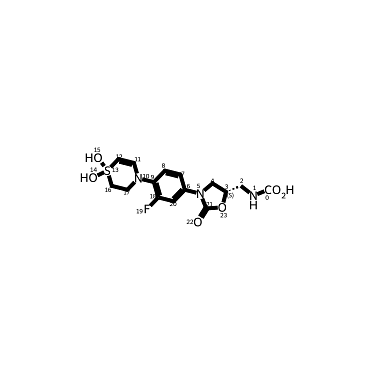 O=C(O)NC[C@H]1CN(c2ccc(N3C=CS(O)(O)CC3)c(F)c2)C(=O)O1